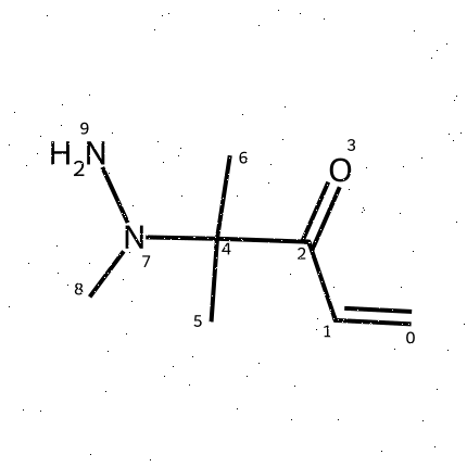 C=CC(=O)C(C)(C)N(C)N